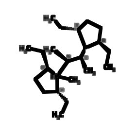 CC[C@@H]1CC[C@@H](CC)P1[C@@H](C)[C@H](C)[PH]1(C)[C@H](CC)CC[C@H]1CC